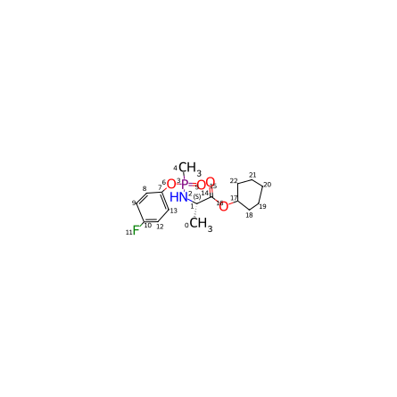 C[C@H](NP(C)(=O)Oc1ccc(F)cc1)C(=O)OC1CCCCC1